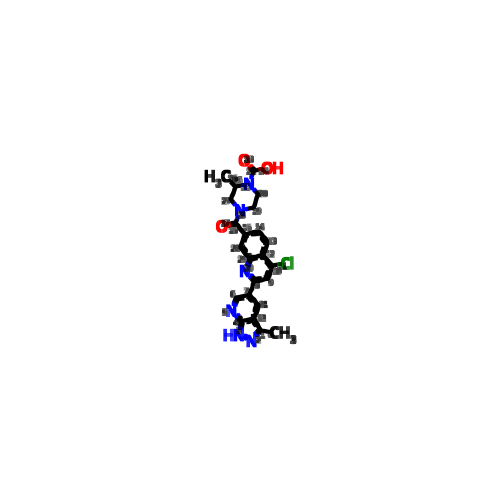 Cc1n[nH]c2ncc(-c3cc(Cl)c4ccc(C(=O)N5CCN(C(=O)O)C(C)C5)cc4n3)cc12